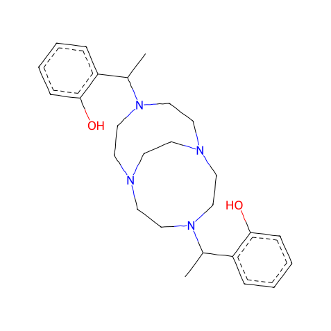 CC(c1ccccc1O)N1CCN2CCN(CC1)CCN(C(C)c1ccccc1O)CC2